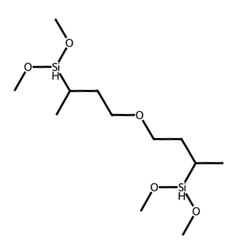 CO[SiH](OC)C(C)CCOCCC(C)[SiH](OC)OC